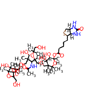 CC(=O)NC([C@@](C)(CO)COCC1(C)OC2(CO)OC(C)(C1(C)O)C2(C)O)[C@@](C)(COCC1(C)C(C)(C)OC(C)(OC(=O)CCCCC2SC[C@@H]3NC(=O)N[C@H]23)[C@H](O)C1(C)O)OC(C)(C)CO